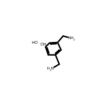 Cl.Cl.NCc1cccc(CN)c1